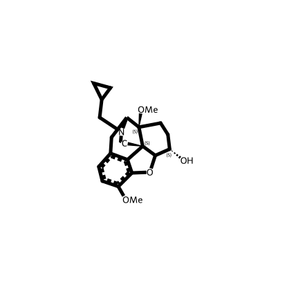 COc1ccc2c3c1OC1[C@@H](O)CC[C@@]4(OC)C(C2)N(CC2CC2)CC[C@]314